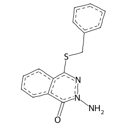 Nn1nc(SCc2ccccc2)c2ccccc2c1=O